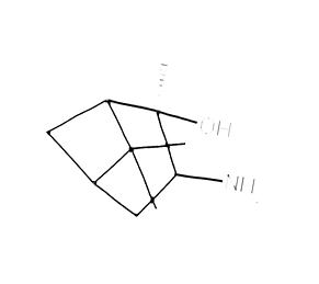 CC1(C)C2CC(N)[C@](C)(O)C1C2